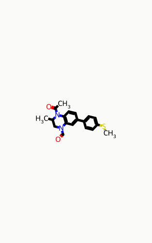 CSc1ccc(-c2ccc3c(c2)N(C=O)CC(C)N3C(C)=O)cc1